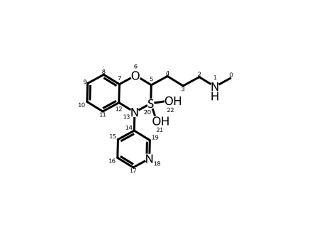 CNCCCC1Oc2ccccc2N(c2cccnc2)S1(O)O